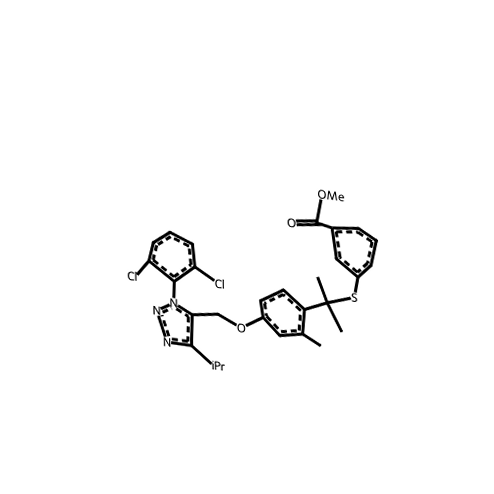 COC(=O)c1cccc(SC(C)(C)c2ccc(OCc3c(C(C)C)nnn3-c3c(Cl)cccc3Cl)cc2C)c1